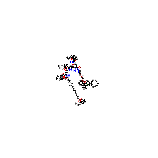 CC(C)(C)OC(=O)CCCCCCCCCCCCCCCCC(=O)N[C@@H](CCC(=O)N[C@@H](CCC(=O)N[C@@H](CCCNC(=O)OC(C)(C)C)C(=O)NCCOCCOCC(=O)OC(c1ccccc1)(c1ccc(C2CCCCCCCCC2)cc1)c1ccccc1Cl)C(=O)OC(C)(C)C)C(=O)OC(C)(C)C